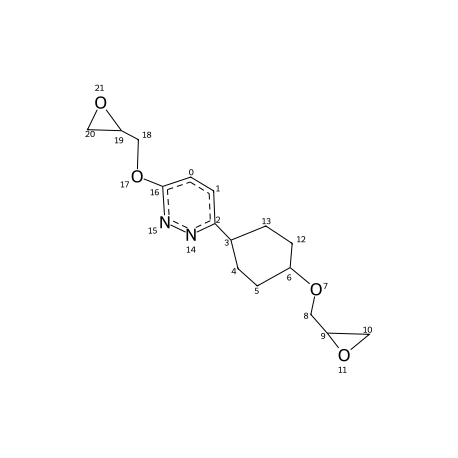 c1cc(C2CCC(OCC3CO3)CC2)nnc1OCC1CO1